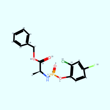 C[C@H](N[PH](=O)Oc1ccc(F)cc1Cl)C(=O)OCc1ccccc1